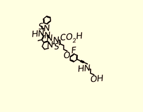 Cc1c(Nc2nc3ccccc3s2)nnc2c1CCCN2c1nc(C(=O)O)c(CCCOc2ccc(C#CCNCCCO)cc2F)s1